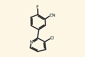 N#Cc1cc(-c2ncccc2Cl)ccc1F